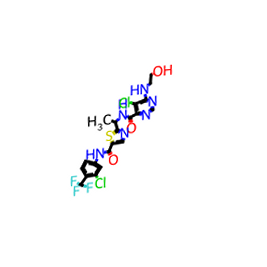 CC(NC(=O)c1ncnc(NCCO)c1Cl)c1ncc(C(=O)Nc2ccc(C(F)(F)F)c(Cl)c2)s1